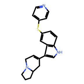 C1=C(c2c[nH]c3ccc(Sc4ccncc4)cc23)CC2CCCN2C1